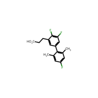 Cc1cc(F)cc(C)c1-c1cc(F)c(F)c(CCC(=O)O)c1